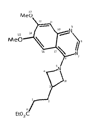 CCOC(=O)CCC1CN(c2ncnc3cc(OC)c(OC)cc23)C1